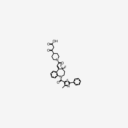 Cc1nc(-c2ccccc2)sc1C(=O)N1CCC(F)(F)C(=CC(=O)N2CCC(C(=O)CC(=O)O)CC2)c2ccccc21